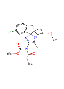 CC1=NC2(N=C1N(C(=O)OC(C)(C)C)C(=O)OC(C)(C)C)c1cc(Br)ccc1C[C@]21CC[C@@H](OC(C)C)CC1